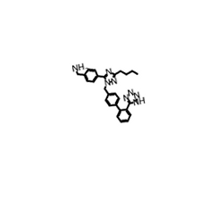 CCCCc1nc(-c2ccc(CN)cc2)n(Cc2ccc(-c3ccccc3-c3nnn[nH]3)cc2)n1